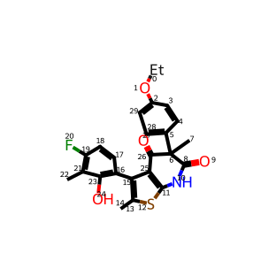 CCOc1ccc(C2(C)C(=O)Nc3sc(C)c(-c4ccc(F)c(C)c4O)c3C2=O)cc1